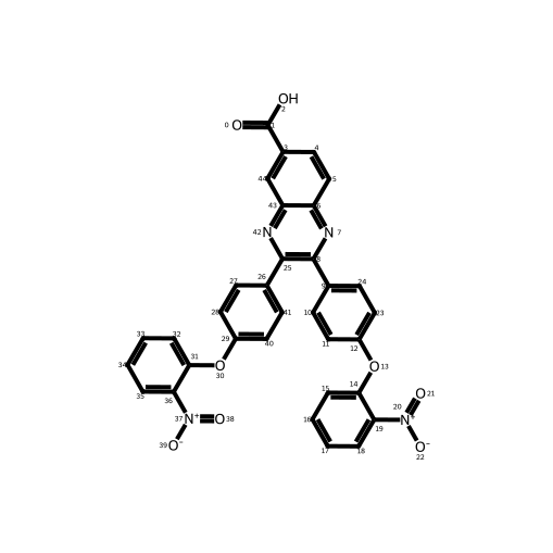 O=C(O)c1ccc2nc(-c3ccc(Oc4ccccc4[N+](=O)[O-])cc3)c(-c3ccc(Oc4ccccc4[N+](=O)[O-])cc3)nc2c1